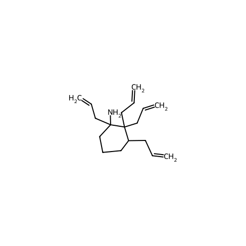 C=CCC1CCCC(N)(CC=C)C1(CC=C)CC=C